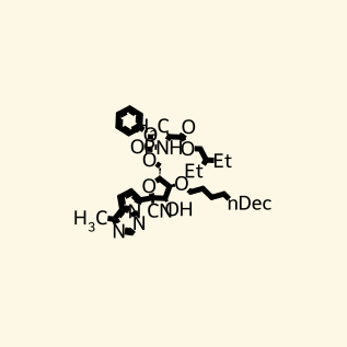 CCCCCCCCCCCCCCO[C@H]1[C@@H](O)[C@](C#N)(c2ccc3c(C)ncnn23)O[C@@H]1COP(=O)(N[C@H](C)C(=O)OCC(CC)CC)Oc1ccccc1